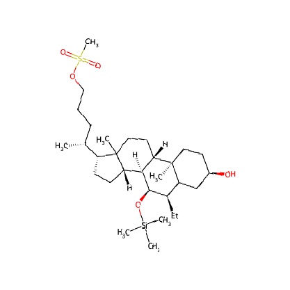 CC[C@@H]1C2C[C@H](O)CC[C@]2(C)[C@H]2CCC3(C)[C@@H]([C@H](C)CCCOS(C)(=O)=O)CC[C@H]3[C@@H]2[C@@H]1O[Si](C)(C)C